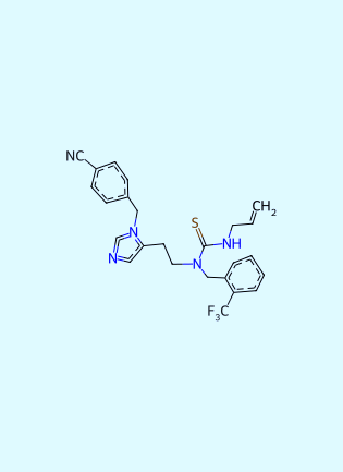 C=CCNC(=S)N(CCc1cncn1Cc1ccc(C#N)cc1)Cc1ccccc1C(F)(F)F